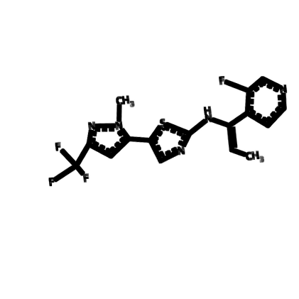 C/C=C(/Nc1ncc(-c2cc(C(F)(F)F)nn2C)s1)c1ccncc1F